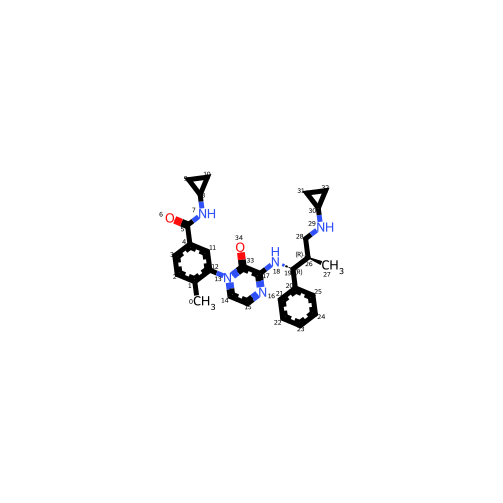 Cc1ccc(C(=O)NC2CC2)cc1-n1ccnc(N[C@@H](c2ccccc2)[C@H](C)CNC2CC2)c1=O